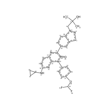 CC(C)(O)Cn1ncc2cc(-c3nc4cnc(NC5CC5)nc4n(-c4ccc(OC(F)F)cc4)c3=O)ccc21